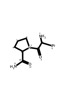 CC(C)C(N)C(=O)N1CCCC1C(N)=O